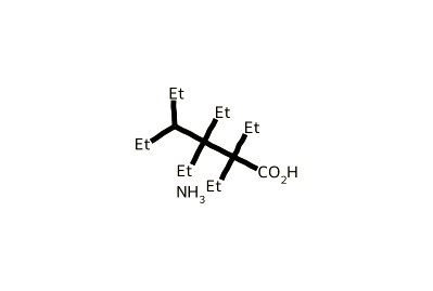 CCC(CC)C(CC)(CC)C(CC)(CC)C(=O)O.N